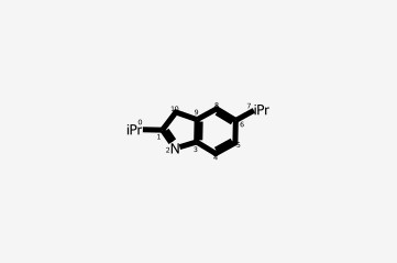 CC(C)C1=Nc2ccc(C(C)C)cc2C1